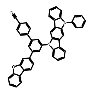 N#Cc1ccc(-c2cc(-c3ccc4c(c3)oc3ccccc34)cc(-n3c4ccccc4c4cc5c(cc43)c3ccccc3n5-c3ccccc3)c2)cc1